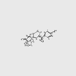 O=C(c1ccc(I)cc1)N1CCCC(CCCO)(c2ccc(Cl)c(Cl)c2)C1